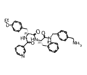 CCOc1ccc(C[C@@H](NC(=O)c2cccnc2)C(=O)N[C@@H](Cc2ccccc2)C(=O)NCc2ccc(CN)cc2)cc1